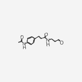 CC(=O)Nc1ccc(CCC(=O)NCCC=O)cc1